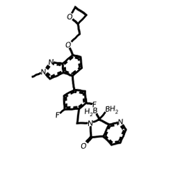 BC1(B)c2ncccc2C(=O)N1Cc1c(F)cc(-c2ccc(OCC3CCO3)c3nn(C)cc23)cc1F